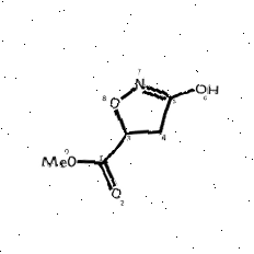 COC(=O)C1CC(O)=NO1